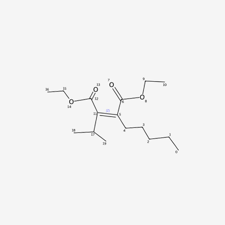 CCCCC/C(C(=O)OCC)=C(/C(=O)OCC)C(C)C